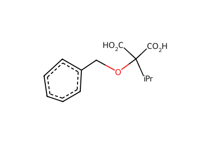 CC(C)C(OCc1ccccc1)(C(=O)O)C(=O)O